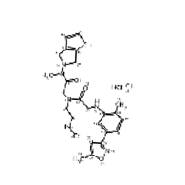 CCNCCN(CC(=O)N(C)N1Cc2ccsc2C1)C(=O)CNc1cc(-c2noc(C)n2)ccc1C.Cl.Cl